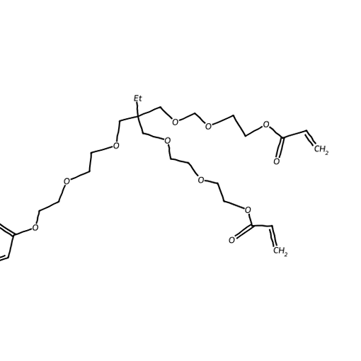 C=CC(=O)OCCOCCOCC(CC)(COCCOCCOC(=O)C=C)COCOCCOC(=O)C=C